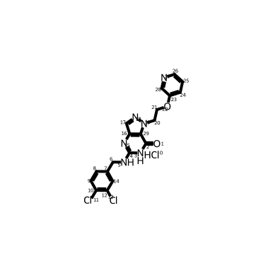 Cl.O=c1[nH]c(NCc2ccc(Cl)c(Cl)c2)nc2cnn(CCOc3cccnc3)c12